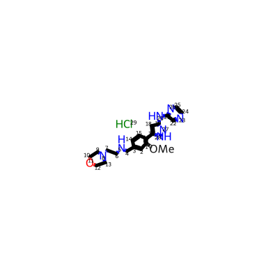 COc1cc(CNCCN2CCOCC2)ccc1-c1cc(Nc2cnccn2)n[nH]1.Cl